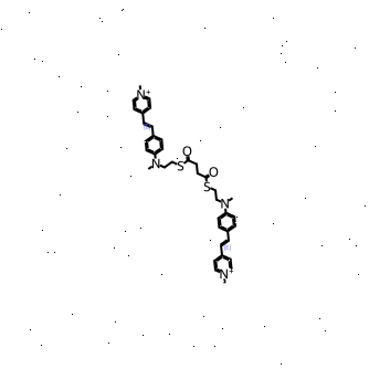 CN(CCSC(=O)CCC(=O)SCCN(C)c1ccc(/C=C/c2cc[n+](C)cc2)cc1)c1ccc(/C=C/c2cc[n+](C)cc2)cc1